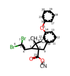 CC1(C)C(C=C(Br)Br)C1(Cc1cccc(Oc2ccccc2)c1)C(=O)OC#N